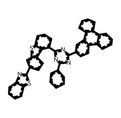 c1ccc(-c2nc(-c3ccc4c5ccccc5c5ccccc5c4c3)nc(-c3cccc4sc5cc(-c6nc7ccccc7s6)ccc5c34)n2)cc1